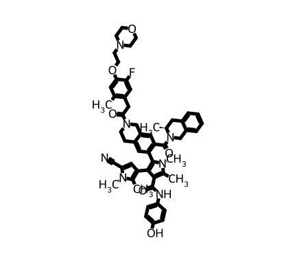 Cc1cc(OCCN2CCOCC2)c(F)cc1CC(=O)N1CCc2cc(-c3c(-c4cc(C#N)n(C)c4C)c(C(=O)Nc4ccc(O)cc4)c(C)n3C)c(C(=O)N3Cc4ccccc4C[C@H]3C)cc2C1